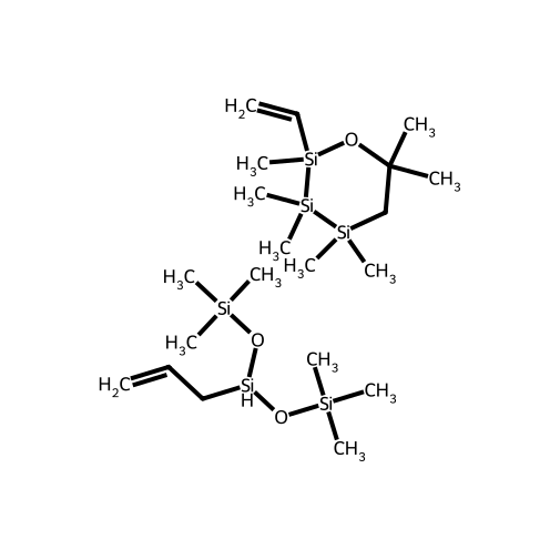 C=CC[SiH](O[Si](C)(C)C)O[Si](C)(C)C.C=C[Si]1(C)OC(C)(C)C[Si](C)(C)[Si]1(C)C